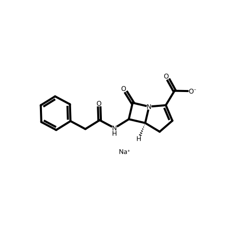 O=C(Cc1ccccc1)NC1C(=O)N2C(C(=O)[O-])=CC[C@@H]12.[Na+]